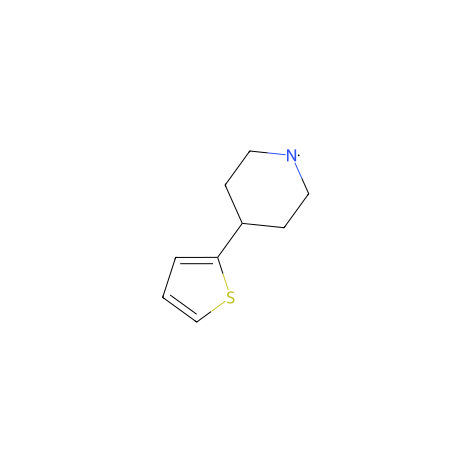 c1csc(C2CC[N]CC2)c1